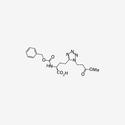 COC(=O)CCn1nnnc1CC[C@H](NC(=O)OCc1ccccc1)C(=O)O